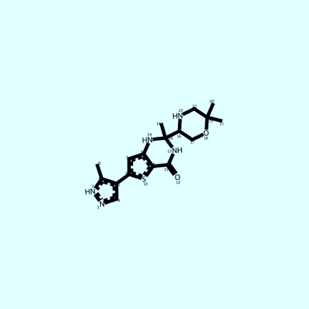 Cc1[nH]ncc1-c1cc2c(s1)C(=O)NC(C)(C1COC(C)(C)CN1)N2